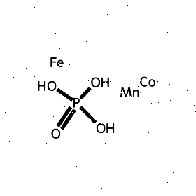 O=P(O)(O)O.[Co].[Fe].[Mn]